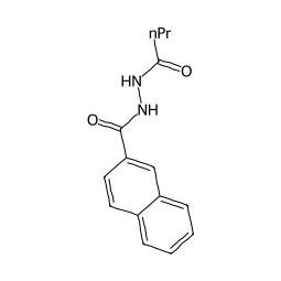 CCCC(=O)NNC(=O)c1ccc2ccccc2c1